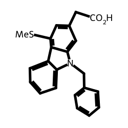 CSc1cc(CC(=O)O)cc2c1c1ccccc1n2Cc1ccccc1